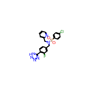 O=S(=O)(c1ccc(Cl)cc1)N(Cc1ccc(-c2nnn[nH]2)c(F)c1)Cc1ccccn1